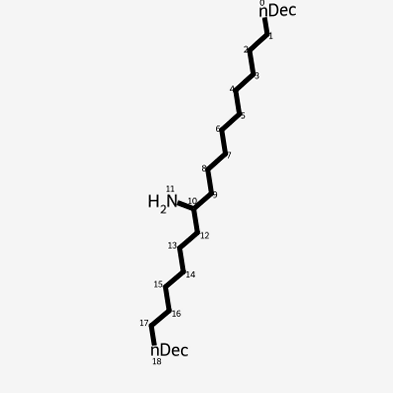 CCCCCCCCCCCCCCCCCCCC(N)CCCCCCCCCCCCCCCC